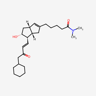 CN(C)C(=O)CCCCC1=C[C@H]2C[C@@H](O)[C@H](/C=C/C(=O)CC3CCCCC3)[C@H]2C1